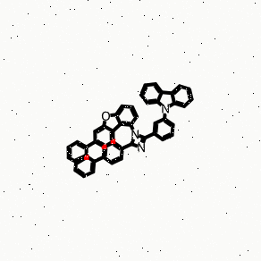 c1ccc(-c2ccc(C3N=C(c4cccc(-n5c6ccccc6c6ccccc65)c4)N3c3cccc4oc5cc(-c6ccccc6)ccc5c34)cc2)cc1